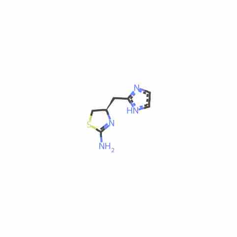 NC1=N[C@H](Cc2ncc[nH]2)CS1